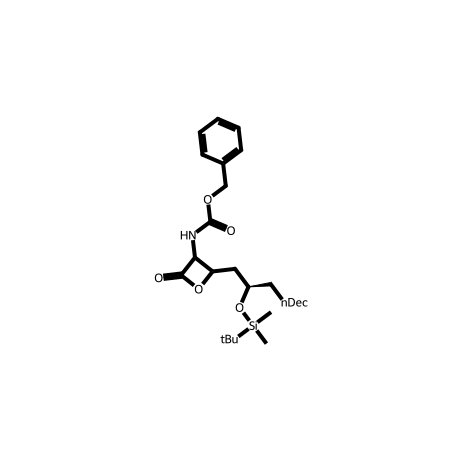 CCCCCCCCCCC[C@H](CC1OC(=O)C1NC(=O)OCc1ccccc1)O[Si](C)(C)C(C)(C)C